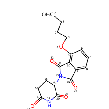 O=CCCCOc1cccc2c1C(=O)N([C@H]1CCC(=O)NC1=O)C2=O